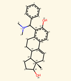 CN(C)C(c1ccccc1)c1c(O)ccc2c1CCC1C2=CC[C@]2(C)C(O)CCC12